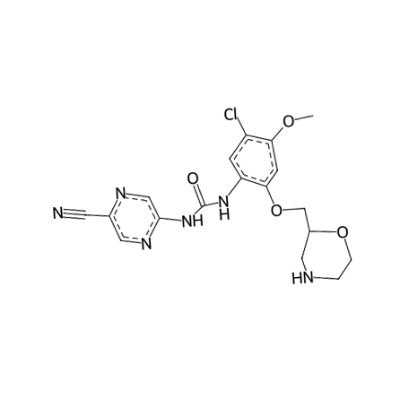 COc1cc(OCC2CNCCO2)c(NC(=O)Nc2cnc(C#N)cn2)cc1Cl